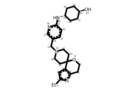 CCc1cc2c(s1)CCOC21CCN(Cc2ccc(N[C@H]3CC[C@H](O)CC3)nc2)CC1